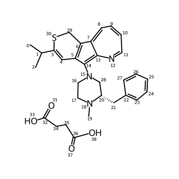 CC(C)C1=Cc2c(c3ccccnc-3c2N2CCN(C)[C@@H](Cc3ccccc3)C2)CS1.O=C(O)CCC(=O)O